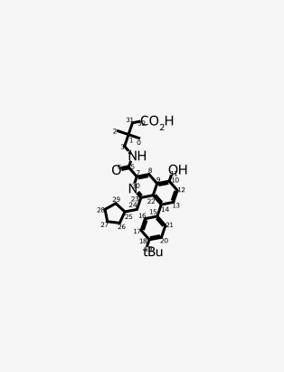 CC(C)(CNC(=O)c1cc2c(O)ccc(-c3ccc(C(C)(C)C)cc3)c2c(CC2CCCC2)n1)CC(=O)O